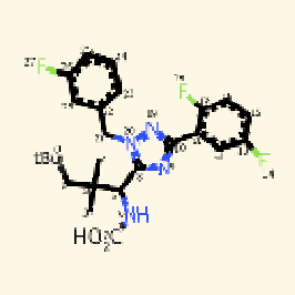 CC(C)(C)CC(C)(C)C(NC(=O)O)c1nc(-c2cc(F)ccc2F)nn1Cc1cccc(F)c1